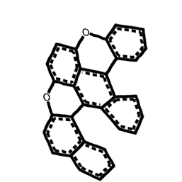 c1ccc2c(c1)Oc1ccc3c4c(c5ccccc5c-2c14)-c1c(ccc2ccccc12)O3